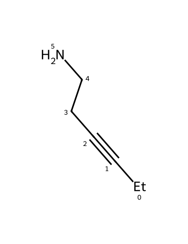 CCC#CCCN